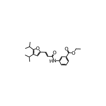 CCOC(=O)c1cccc(NC(=O)C=Cc2cc(C(C)C)c(C(C)C)o2)c1